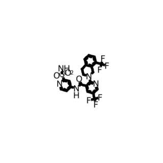 NS(=O)(=O)c1cc(NC(=O)c2cc(C(F)(F)F)cnc2N2CCc3cccc(C(F)(F)F)c3C2)ccn1